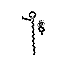 CCCCCCCCCCCCCCCC[N+]1(CC#CI)CCCCCC1.Cc1ccc(S(=O)(=O)[O-])cc1